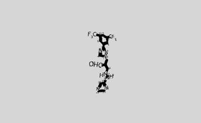 O=C/C(=C\n1cnc(-c2cc(C(F)(F)F)cc(C(F)(F)F)c2)n1)CNNc1cnccn1